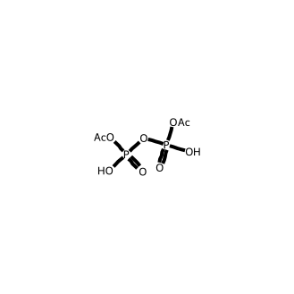 CC(=O)OP(=O)(O)OP(=O)(O)OC(C)=O